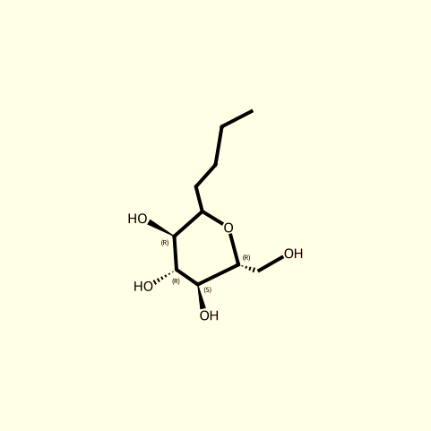 CCCCC1O[C@H](CO)[C@@H](O)[C@H](O)[C@H]1O